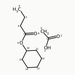 CC(=O)O.CCCC(=O)OC1CCCCC1